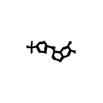 FC(F)(F)c1cnc(Nc2ccnc3cc(Cl)c(Cl)cc23)nc1